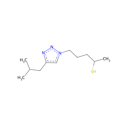 CC(C)Cc1cn(CCCC(C)S)nn1